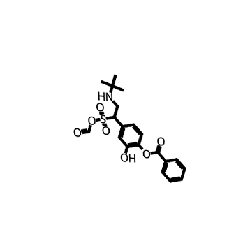 CC(C)(C)NCC(c1ccc(OC(=O)c2ccccc2)c(O)c1)S(=O)(=O)OC=O